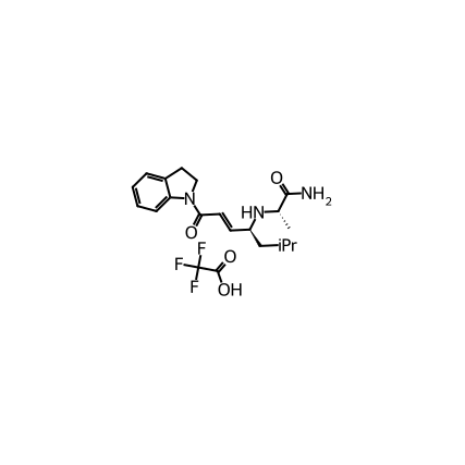 CC(C)C[C@@H](/C=C/C(=O)N1CCc2ccccc21)N[C@@H](C)C(N)=O.O=C(O)C(F)(F)F